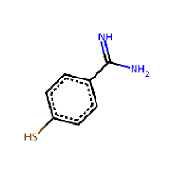 N=C(N)c1ccc(S)cc1